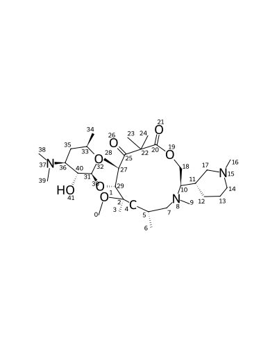 CO[C@]1(C)C[C@@H](C)CN(C)[C@H]([C@H]2CCCN(C)C2)COC(=O)C(C)(C)C(=O)[C@H](C)[C@H]1O[C@@H]1O[C@H](C)C[C@H](N(C)C)[C@H]1O